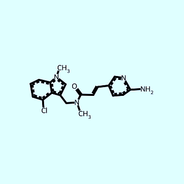 CN(Cc1cn(C)c2cccc(Cl)c12)C(=O)/C=C/c1ccc(N)nc1